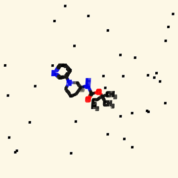 CC(C)(C)OC(=O)N[C@H]1CCCN(c2cccnc2)C1